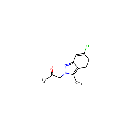 CC(=O)Cn1nc2c(c1C)CCC(Cl)=C2